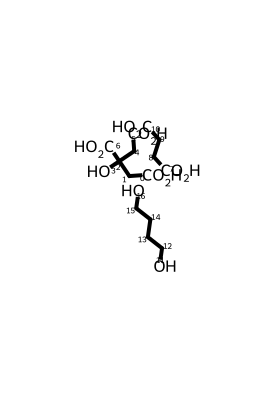 O=C(O)CC(O)(CC(=O)O)C(=O)O.O=C(O)CCC(=O)O.OCCCCO